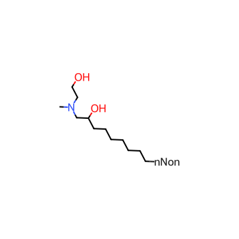 CCCCCCCCCCCCCCCCC(O)CN(C)CCO